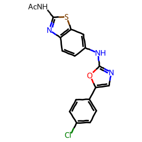 CC(=O)Nc1nc2ccc(Nc3ncc(-c4ccc(Cl)cc4)o3)cc2s1